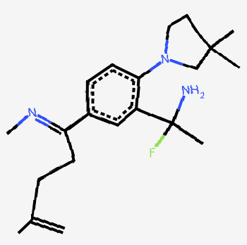 C=C(C)CC/C(=N\C)c1ccc(N2CCC(C)(C)C2)c(C(C)(N)F)c1